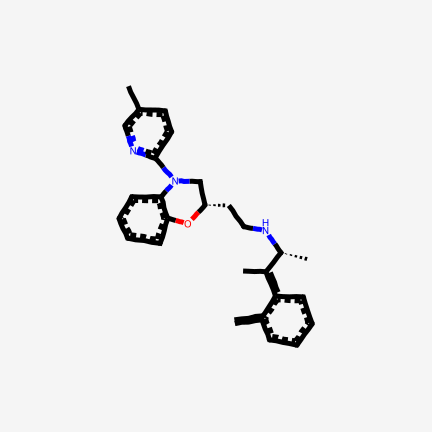 C=c1cccc/c1=C(/C)[C@@H](C)NCC[C@H]1CN(c2ccc(C)cn2)c2ccccc2O1